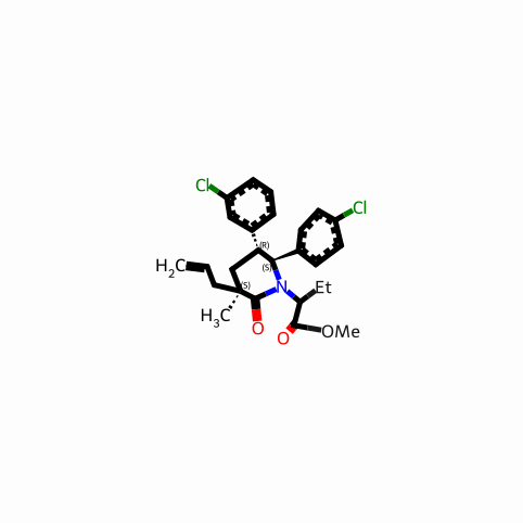 C=CC[C@@]1(C)C[C@H](c2cccc(Cl)c2)[C@@H](c2ccc(Cl)cc2)N(C(CC)C(=O)OC)C1=O